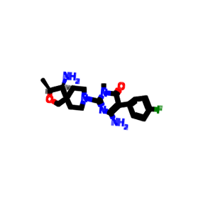 C[C@@H]1OCC2(CCN(c3nc(N)c(-c4ccc(F)cc4)c(=O)n3C)CC2)[C@@H]1N